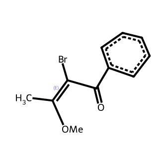 CO/C(C)=C(/Br)C(=O)c1ccccc1